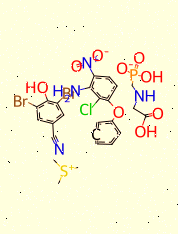 C[S+](C)C.N#Cc1cc(Br)c(O)c(Br)c1.Nc1c([N+](=O)[O-])ccc(Oc2ccccc2)c1Cl.O=C(O)CNCP(=O)([O-])O